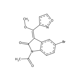 CO/C(=C1\C(=O)N(C(C)=O)c2ccc(Br)cc21)c1ccon1